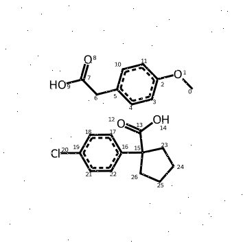 COc1ccc(CC(=O)O)cc1.O=C(O)C1(c2ccc(Cl)cc2)CCCC1